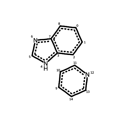 c1ccc2[nH]cnc2c1.c1ccncc1